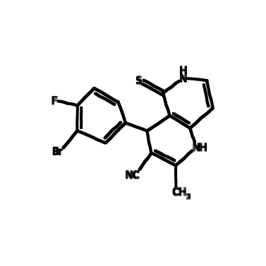 CC1=C(C#N)C(c2ccc(F)c(Br)c2)c2c(cc[nH]c2=S)N1